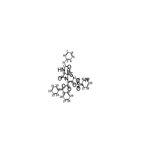 O=C(Cc1ccccc1)NC1C(=O)N2C(C(=O)OC(c3ccccc3)c3ccccc3)=C(OS(=O)(=O)c3cccnc3)CS[C@@H]12